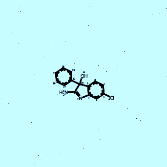 NC1=Nc2cc(Cl)ccc2C1(O)c1ccccc1